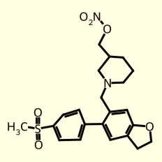 CS(=O)(=O)c1ccc(-c2cc3c(cc2CN2CCCC(CO[N+](=O)[O-])C2)OCC3)cc1